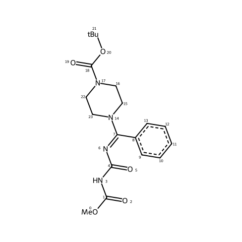 COC(=O)NC(=O)/N=C(\c1ccccc1)N1CCN(C(=O)OC(C)(C)C)CC1